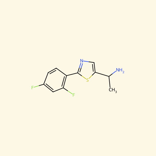 CC(N)c1cnc(-c2ccc(F)cc2F)s1